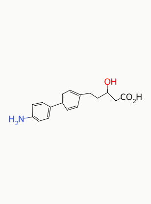 Nc1ccc(-c2ccc(CCC(O)CC(=O)O)cc2)cc1